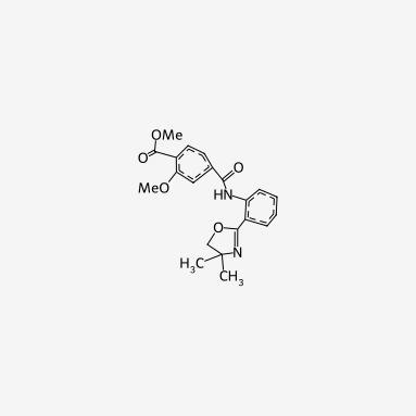 COC(=O)c1ccc(C(=O)Nc2ccccc2C2=NC(C)(C)CO2)cc1OC